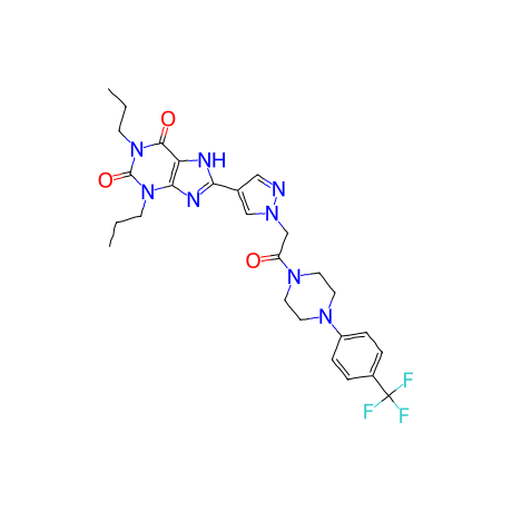 CCCn1c(=O)c2[nH]c(-c3cnn(CC(=O)N4CCN(c5ccc(C(F)(F)F)cc5)CC4)c3)nc2n(CCC)c1=O